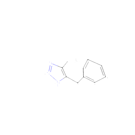 CCOC(=O)c1nn[nH]c1Cc1ccccc1